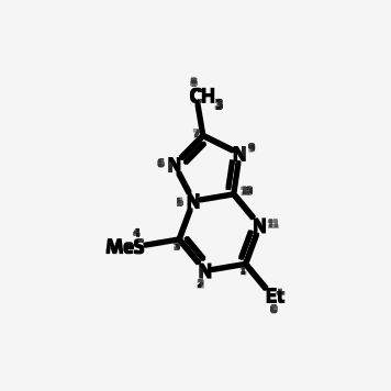 CCc1nc(SC)n2nc(C)nc2n1